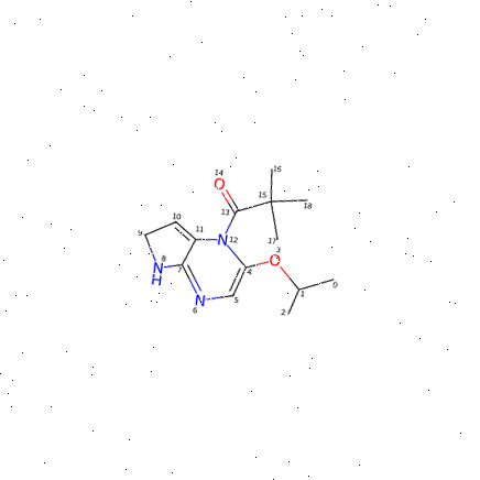 CC(C)OC1=CN=C2NCC=C2N1C(=O)C(C)(C)C